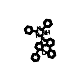 c1ccc(C2=NC(n3c4ccc(-c5ccccc5)c5oc6ccccc6c6cccc3c6c54)NC(c3ccccc3)=N2)cc1